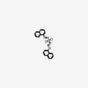 O=S(=O)(N=Nc1cccc2ccccc12)ON=Nc1cccc2ccccc12